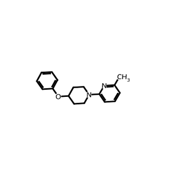 Cc1cccc(N2CCC(Oc3ccccc3)CC2)n1